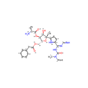 CCCC(C)N(C)C(=O)N/C(=N/C=N)c1ccc([C@]2(C#N)O[C@H](COC(=O)Cc3ccccc3)[C@@H](OC(=O)[C@@H](N)C(C)C)[C@H]2O)[nH]1